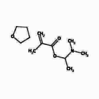 C1CCOC1.C=C(C)C(=O)OC(C)N(C)C